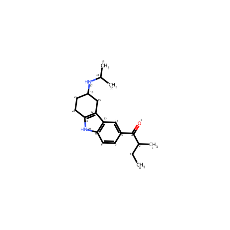 CCC(C)C(=O)c1ccc2[nH]c3c(c2c1)CC(NC(C)C)CC3